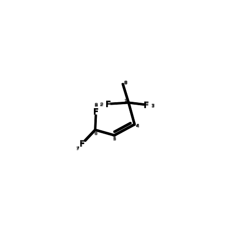 CC(F)(F)/C=C\C(F)F